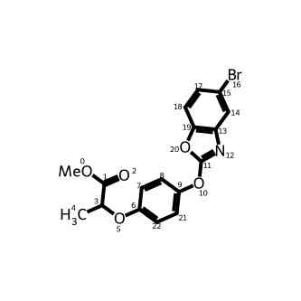 COC(=O)C(C)Oc1ccc(Oc2nc3cc(Br)ccc3o2)cc1